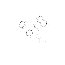 CCN(C(=O)c1cc(Oc2ccccc2[N+](=O)[O-])ccc1CCCC(=O)O)c1cccc2ccccc12